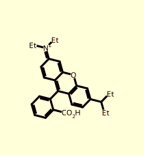 CCC(CC)c1ccc2c(-c3ccccc3C(=O)O)c3ccc(=[N+](CC)CC)cc-3oc2c1